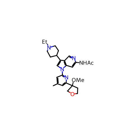 CCN1CCC(c2cn(-c3cc(C)cc(C4(OC)CCOC4)n3)c3cc(NC(C)=O)ncc23)CC1